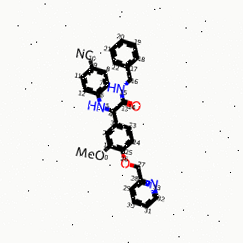 COc1cc(C(Nc2ccc(C#N)cc2)C(=O)NCc2ccccc2)ccc1OCc1ccccn1